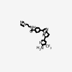 Nc1ncc(-c2ccc3ncc(-c4ccc(C(=O)NCCn5ccnc5)cc4)n3n2)cc1C(F)(F)F